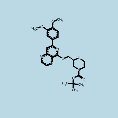 COc1ccc(-c2cc3nccnc3c(OC[C@@H]3CN(C(=O)OC(C)(C)C)CCO3)n2)cc1OC